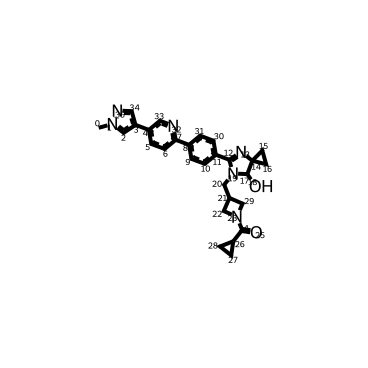 Cn1cc(-c2ccc(-c3ccc(C4=NC5(CC5)C(O)N4CC4CN(C(=O)C5CC5)C4)cc3)nc2)cn1